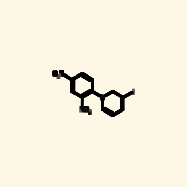 O=[N+]([O-])c1ccc(N2C=CC=C(I)C2)c([N+](=O)[O-])c1